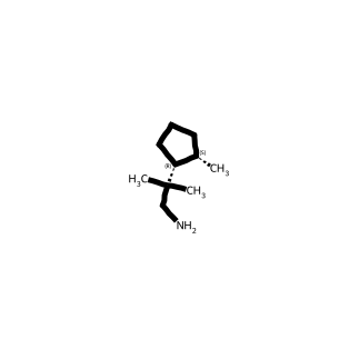 C[C@H]1CCC[C@H]1C(C)(C)CN